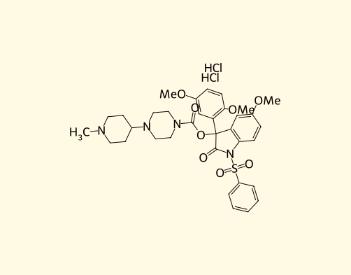 COc1ccc(OC)c(C2(OC(=O)N3CCN(C4CCN(C)CC4)CC3)C(=O)N(S(=O)(=O)c3ccccc3)c3ccc(OC)cc32)c1.Cl.Cl